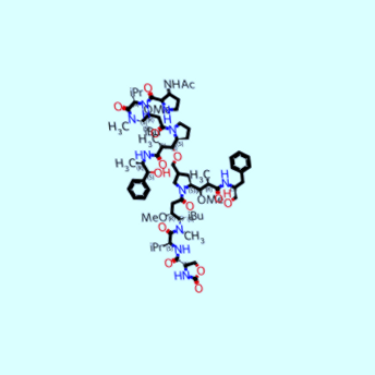 CC[C@H](C)[C@@H]([C@@H](CC(=O)N1CCC[C@H]1[C@H](OCC1C[C@@H]([C@H](OC)[C@@H](C)C(=O)N[C@H](CO)Cc2ccccc2)N(C(=O)C[C@@H](OC)[C@H]([C@@H](C)CC)N(C)C(=O)[C@@H](NC(=O)[C@@H]2COC(=O)N2)C(C)C)C1)[C@@H](C)C(=O)N[C@H](C)[C@@H](O)c1ccccc1)OC)N(C)C(=O)[C@@H](NC(=O)C1NCCC1NC(C)=O)C(C)C